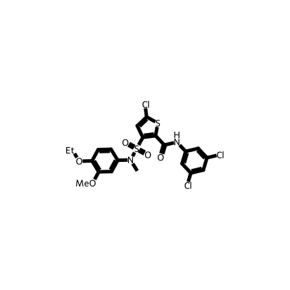 CCOc1ccc(N(C)S(=O)(=O)c2cc(Cl)sc2C(=O)Nc2cc(Cl)cc(Cl)c2)cc1OC